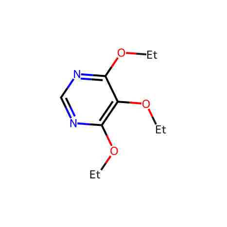 CCOc1ncnc(OCC)c1OCC